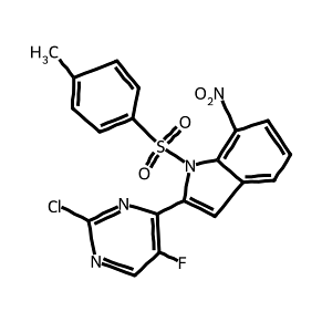 Cc1ccc(S(=O)(=O)n2c(-c3nc(Cl)ncc3F)cc3cccc([N+](=O)[O-])c32)cc1